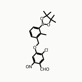 Cc1c(COc2cc(N=O)c(C=O)cc2Cl)cccc1B1OC(C)(C)C(C)(C)O1